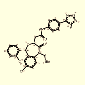 CC(C)(C)CN1C(=O)[C@H](CC(=O)Nc2ccc(-c3nnn[nH]3)cc2)O[C@@H](c2ccccc2Cl)c2cc(Cl)ccc21